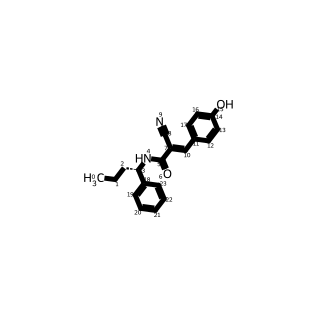 CCC[C@H](NC(=O)/C(C#N)=C/c1ccc(O)cc1)c1ccccc1